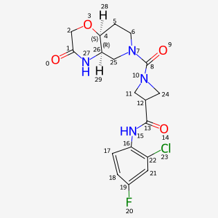 O=C1CO[C@H]2CCN(C(=O)N3CC(C(=O)Nc4ccc(F)cc4Cl)C3)C[C@H]2N1